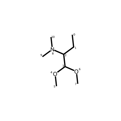 CCC(C(OC)OC)N(C)C